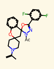 C=C(C)N1CCC2(CC1)CC1(OC(c3cc(F)ccc3F)=NN1C(C)=O)c1ccccc1O2